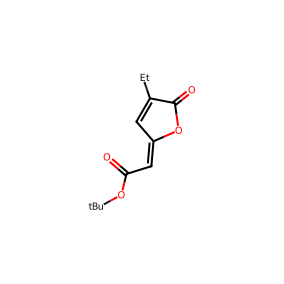 CCC1=C/C(=C\C(=O)OC(C)(C)C)OC1=O